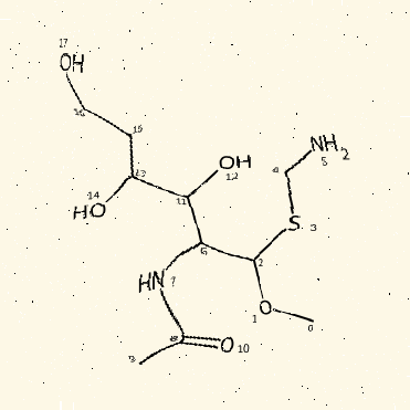 COC(SCN)C(NC(C)=O)C(O)C(O)CCO